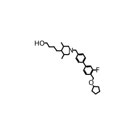 CC1CN(Cc2ccc(-c3ccc(COC4CCCC4)c(F)c3)cc2)CC(C)C1CCCCO